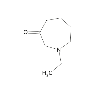 CCN1CCCCC(=O)C1